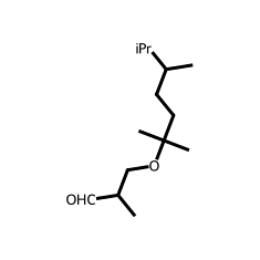 CC(C=O)COC(C)(C)CCC(C)C(C)C